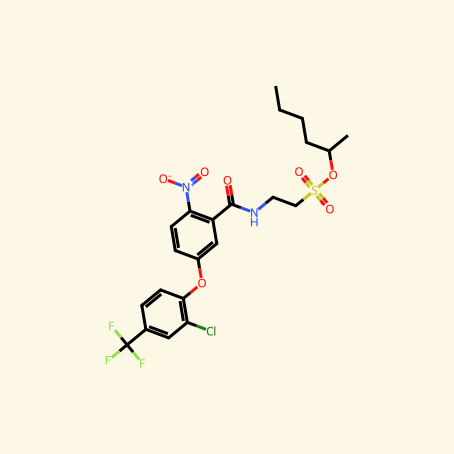 CCCCC(C)OS(=O)(=O)CCNC(=O)c1cc(Oc2ccc(C(F)(F)F)cc2Cl)ccc1[N+](=O)[O-]